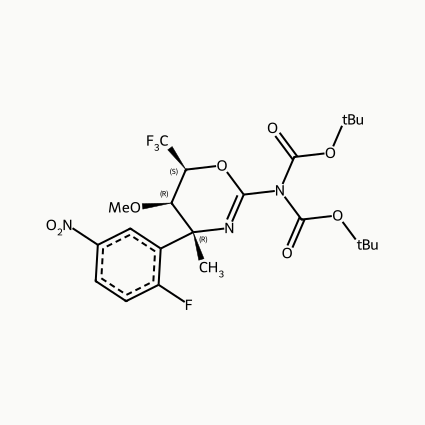 CO[C@H]1[C@@H](C(F)(F)F)OC(N(C(=O)OC(C)(C)C)C(=O)OC(C)(C)C)=N[C@]1(C)c1cc([N+](=O)[O-])ccc1F